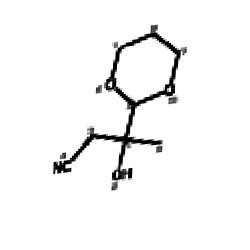 CC(O)(CC#N)C1OCCCO1